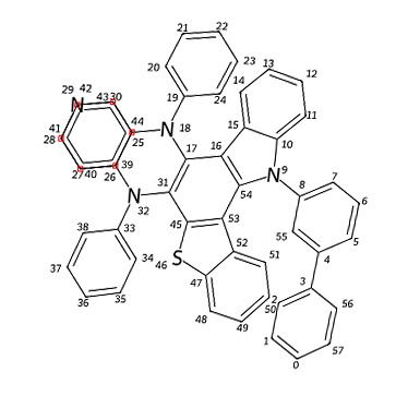 c1ccc(-c2cccc(-n3c4ccccc4c4c(N(c5ccccc5)c5cccnc5)c(N(c5ccccc5)c5ccccc5)c5sc6ccccc6c5c43)c2)cc1